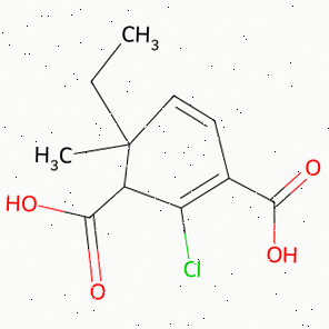 CCC1(C)C=CC(C(=O)O)=C(Cl)C1C(=O)O